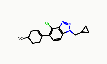 N#CC1CC=C(c2ccc3c(nnn3CC3CC3)c2Cl)CC1